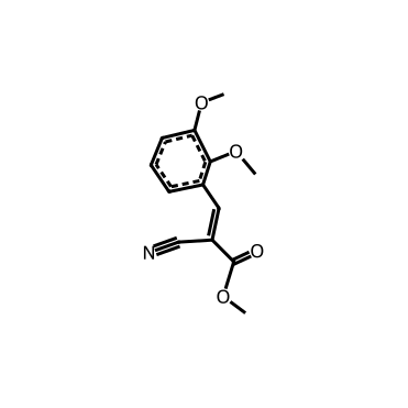 COC(=O)/C(C#N)=C/c1cccc(OC)c1OC